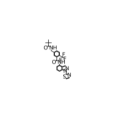 CC(C)(C)C(=O)NCc1ccc(C(F)(F)F)c(C(=O)Nc2cccc3c2cnn3-c2nccs2)c1